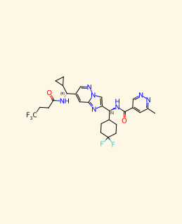 Cc1cc(C(=O)N[C@H](c2cn3ncc([C@H](NC(=O)CCC(F)(F)F)C4CC4)cc3n2)C2CCC(F)(F)CC2)cnn1